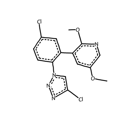 COc1cnc(OC)c(-c2cc(Cl)ccc2-n2cc(Cl)nn2)c1